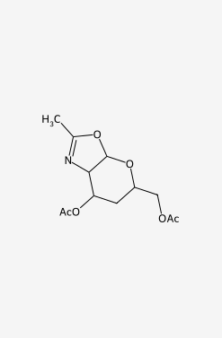 CC(=O)OCC1CC(OC(C)=O)C2N=C(C)OC2O1